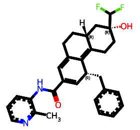 Cc1ncccc1NC(=O)C1=C[C@@H](Cc2ccccc2)C2=C3CC[C@](O)(C(F)F)C[C@H]3CCC2=C1